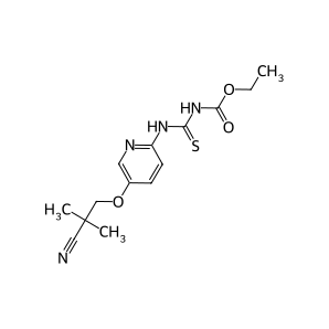 CCOC(=O)NC(=S)Nc1ccc(OCC(C)(C)C#N)cn1